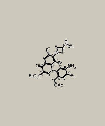 CCNC1CN(c2c(F)cc3c(=O)c(C(=O)OCC)cn(-c4cc(N)c(F)cc4COC(C)=O)c3c2Br)C1